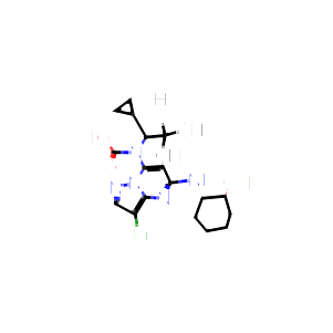 CC(C)(C)C(C1CC1)N(C(=O)O)c1cc(N[C@H]2CCCC[C@H]2O)nc2c(Br)cnn12